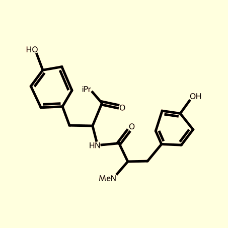 CNC(Cc1ccc(O)cc1)C(=O)NC(Cc1ccc(O)cc1)C(=O)C(C)C